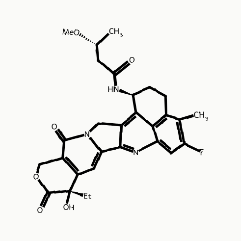 CC[C@@]1(O)C(=O)OCc2c1cc1n(c2=O)Cc2c-1nc1cc(F)c(C)c3c1c2[C@@H](NC(=O)C[C@@H](C)OC)CC3